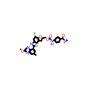 COc1cnc2c(-c3nc4cc(F)c5c(c4s3)CC(COC(=O)Nc3ccc(C(=O)N(C)C)cc3)O5)cc(C)cc2n1